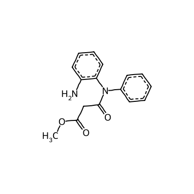 COC(=O)CC(=O)N(c1ccccc1)c1ccccc1N